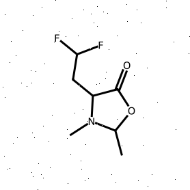 CC1OC(=O)C(CC(F)F)N1C